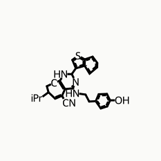 CC(C)C1C=C(C#N)C2=C(CC1)NC(c1csc3ccccc13)N=C2NCCc1ccc(O)cc1